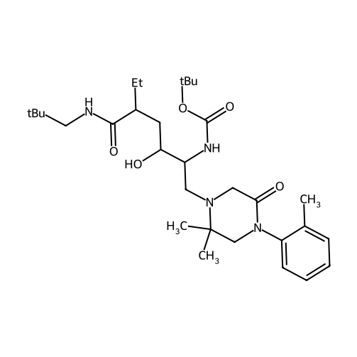 CCC(CC(O)C(CN1CC(=O)N(c2ccccc2C)CC1(C)C)NC(=O)OC(C)(C)C)C(=O)NCC(C)(C)C